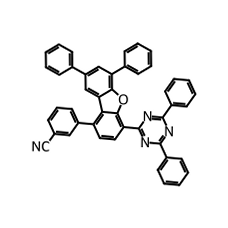 N#Cc1cccc(-c2ccc(-c3nc(-c4ccccc4)nc(-c4ccccc4)n3)c3oc4c(-c5ccccc5)cc(-c5ccccc5)cc4c23)c1